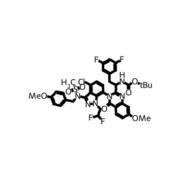 COc1ccc(CN(c2nn(CC(F)F)c3c(-n4c(C(Cc5cc(F)cc(F)c5)NC(=O)OC(C)(C)C)nc5cc(OC)ccc5c4=O)ccc(Cl)c23)S(C)(=O)=O)cc1